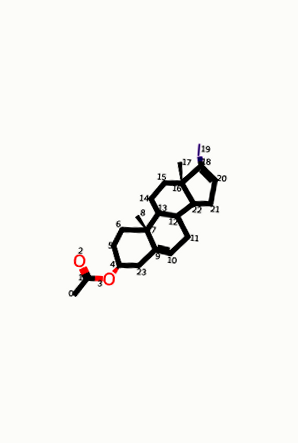 CC(=O)O[C@H]1CC[C@@]2(C)C(=CCC3C2CC[C@]2(C)C(I)=CCC32)C1